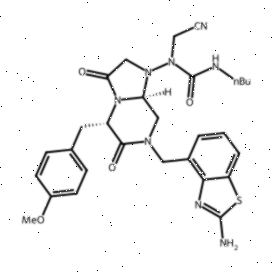 CCCCNC(=O)N(CC#N)N1CC(=O)N2[C@@H](Cc3ccc(OC)cc3)C(=O)N(Cc3cccc4sc(N)nc34)C[C@@H]21